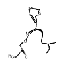 CC(C)CC/C(=N\OCC(=O)O)c1ccsc1